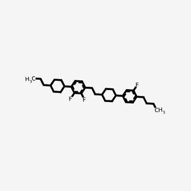 CCCCc1ccc(C2CCC(CCc3ccc(C4CCC(CCC)CC4)c(F)c3F)CC2)cc1F